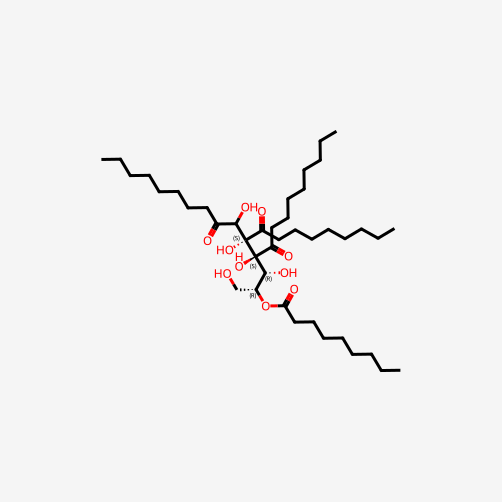 CCCCCCCCC(=O)O[C@H](CO)[C@@H](O)[C@@](O)(C(=O)CCCCCCCC)[C@](O)(C(=O)CCCCCCCC)C(O)C(=O)CCCCCCCC